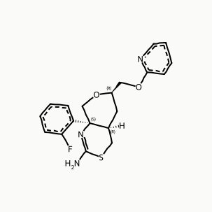 NC1=N[C@@]2(c3ccccc3F)CO[C@@H](COc3ccccn3)C[C@H]2CS1